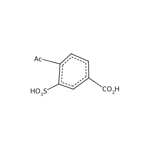 CC(=O)c1ccc(C(=O)O)cc1S(=O)(=O)O